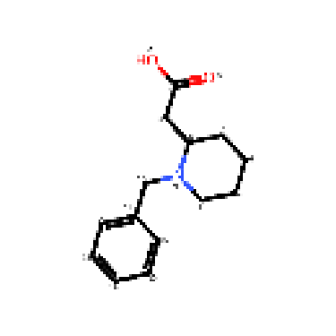 O=C(O)CC1CCCCN1Cc1ccccc1